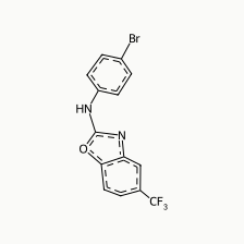 FC(F)(F)c1ccc2oc(Nc3ccc(Br)cc3)nc2c1